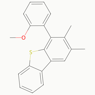 COc1ccccc1-c1c(C)c(C)cc2c1sc1ccccc12